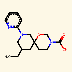 CCC1CN(c2ccccn2)CC2(CCN(C(=O)O)CO2)C1